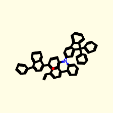 C=Cc1ccc(-c2ccccc2N(c2ccc(-c3ccc(-c4ccccc4)c4ccccc34)cc2)c2ccc3c(c2)C(c2ccccc2)(c2ccccc2)c2ccccc2-3)cc1